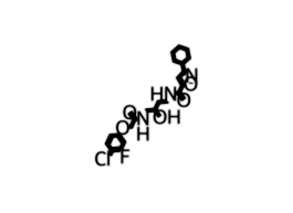 O=C(COc1ccc(Cl)c(F)c1)NCC(O)CCNC(=O)c1cc(C2CCCCC2)no1